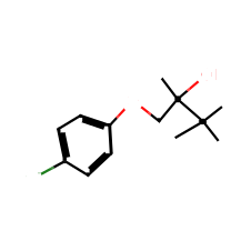 [CH2]C(O)(COc1ccc(Cl)cc1)C(C)(C)C